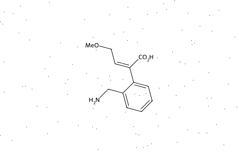 COCC=C(C(=O)O)c1ccccc1CN